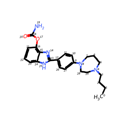 CCCCN1CCCN(c2ccc(-c3nc4c(OC(N)=O)cccc4[nH]3)cc2)CC1